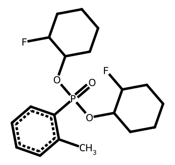 Cc1ccccc1P(=O)(OC1CCCCC1F)OC1CCCCC1F